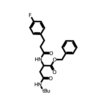 CC(C)(C)NC(=O)CC(NC(=O)CCc1ccc(F)cc1)C(=O)OCc1ccccc1